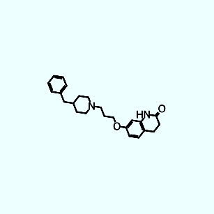 O=C1CCc2ccc(OCCCN3CCC(Cc4ccccc4)CC3)cc2N1